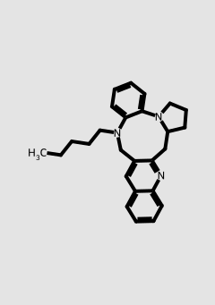 CCCCCN1Cc2cc3ccccc3nc2CC2CCCN2c2ccccc21